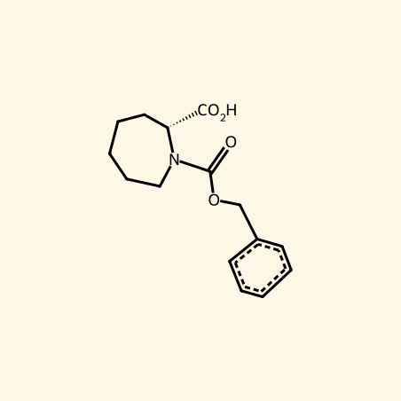 O=C(O)[C@H]1CCCCCN1C(=O)OCc1ccccc1